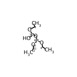 CCOP(O)OP(OCC)OCC